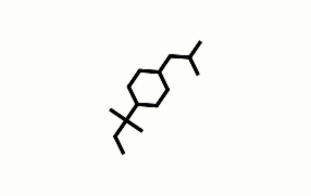 CCC(C)(C)C1CCC(C[C](C)C)CC1